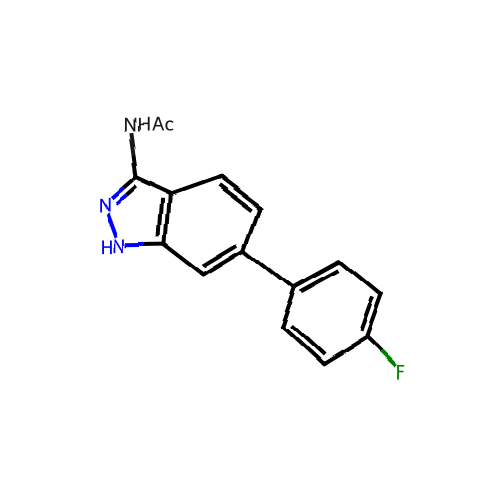 CC(=O)Nc1n[nH]c2cc(-c3ccc(F)cc3)ccc12